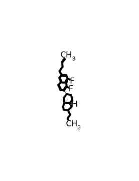 C/C=C/CCc1cc(F)c2c(F)c([C@@H]3CC[C@@H]4CC(CCC)CCC4C3)ccc2c1